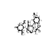 CC(=O)c1ccc2c(c1)C(NC(=O)c1c(F)cccc1Cl)C(O)C(C)(C)O2